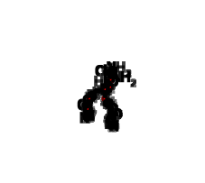 Nc1nc(N)c(C(=O)N[C@H]2CCC[N+](CCCc3ccc(OCC(=O)N4CCn5ccnc5C4)cc3)(CCCc3ccc(OCC(=O)N4CCn5ccnc5C4)cc3)C2)nc1Cl